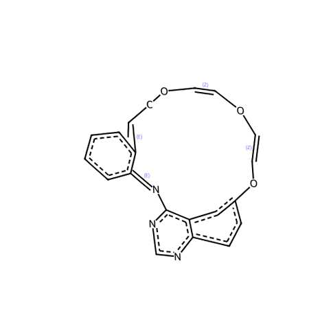 C1=C\OC/C=c2\cccc\c2=N/c2ncnc3ccc(cc23)O/C=C\O/1